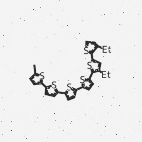 CCc1ccsc1-c1cc(CC)c(-c2ccc(-c3ccc(-c4ccc(-c5ccc(C)s5)s4)s3)s2)s1